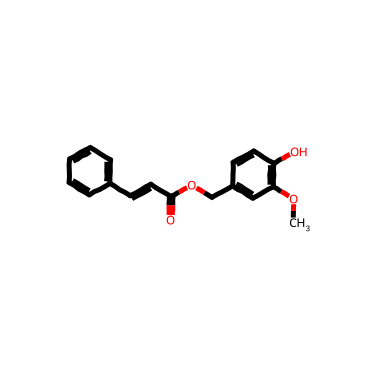 COc1cc(COC(=O)/C=C/c2ccccc2)ccc1O